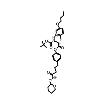 CCCCOc1ccc(C[C@@H](NC(=O)OC(C)(C)C)C(=O)Oc2ccc(CCCC(=O)NOC3CCCCO3)cc2)nc1